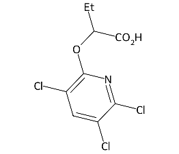 CCC(Oc1nc(Cl)c(Cl)cc1Cl)C(=O)O